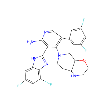 Nc1ncc(-c2cc(F)cc(F)c2)c(N2CCC3NCCOC3C2)c1-c1nc2c(F)cc(F)cc2[nH]1